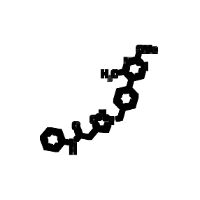 COc1ncc(-c2ccc(C[n+]3cc(CC(=O)Nc4ccccc4)on3)cc2)c(C)n1